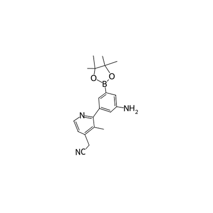 Cc1c(CC#N)ccnc1-c1cc(N)cc(B2OC(C)(C)C(C)(C)O2)c1